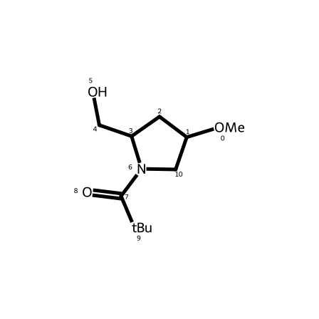 COC1CC(CO)N(C(=O)C(C)(C)C)C1